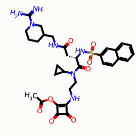 CC(=O)Oc1c(NCCN(C(=O)[C@H](CC(=O)NCC2CCCN(C(=N)N)C2)NS(=O)(=O)c2ccc3ccccc3c2)C2CC2)c(=O)c1=O